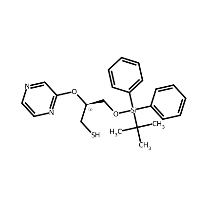 CC(C)(C)[Si](OC[C@@H](CS)Oc1cnccn1)(c1ccccc1)c1ccccc1